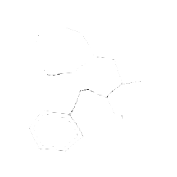 CC(C)C(Cc1ccccc1)C(C)CC1CCCCCC1